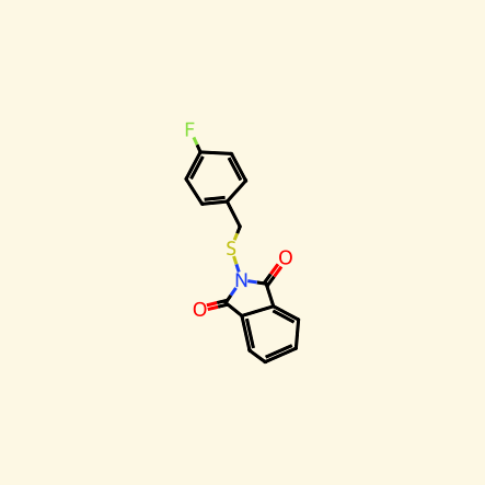 O=C1c2ccccc2C(=O)N1SCc1ccc(F)cc1